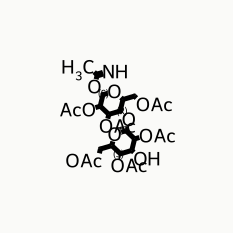 CC(=N)O[C@@H]1OC(COC(C)=O)[C@@H](O[C@@H]2OC(COC(C)=O)[C@@H](OC(C)=O)C(O)C2OC(C)=O)C(OC(C)=O)C1OC(C)=O